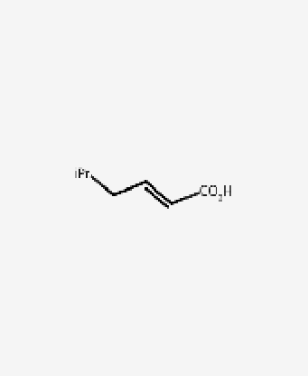 CC(C)C/C=C/C(=O)O